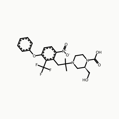 CC(C)(Cc1c([N+](=O)[O-])ccc(Oc2ccccc2)c1C(F)(F)F)N1CCN(C(=O)O)[C@@H](CO)C1